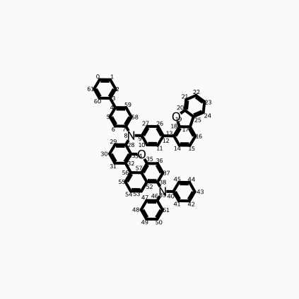 c1ccc(-c2ccc(N(c3ccc(-c4cccc5c4oc4ccccc45)cc3)c3cccc4c3Oc3ccc(N(c5ccccc5)c5ccccc5)c5cccc-4c35)cc2)cc1